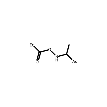 CCC(=O)ONC(C)C(C)=O